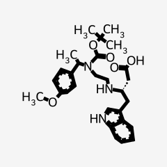 COc1ccc(C(C)N(CCN[C@H](CC(=O)O)Cc2c[nH]c3ccccc23)C(=O)OC(C)(C)C)cc1